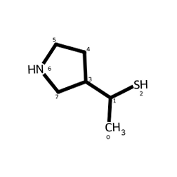 CC(S)C1CCNC1